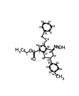 CCOC(=O)c1sc(SCc2ccccc2)c2c1CC(c1ccc(C)cc1)CC2=NO